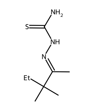 CCC(C)(C)C(C)=NNC(N)=S